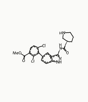 COC(=O)c1ccc(Cl)c(-c2ccc3[nH]nc(NC(=O)[C@@H]4CCCNC4)c3c2)c1Cl